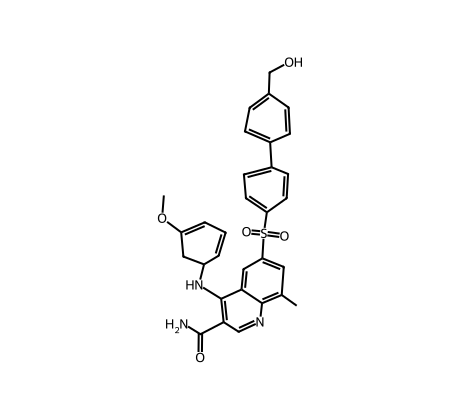 COC1=CC=CC(Nc2c(C(N)=O)cnc3c(C)cc(S(=O)(=O)c4ccc(-c5ccc(CO)cc5)cc4)cc23)C1